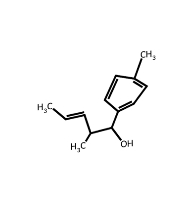 C/C=C/C(C)C(O)c1ccc(C)cc1